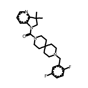 CC1(C)CN(C(=O)N2CCC3(CCN(Cc4cc(F)ccc4F)CC3)CC2)c2cccnc21